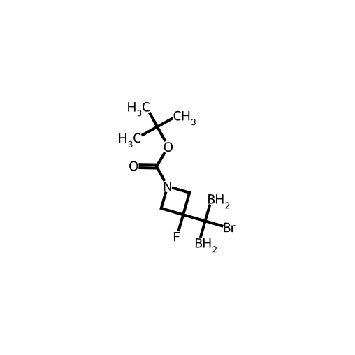 BC(B)(Br)C1(F)CN(C(=O)OC(C)(C)C)C1